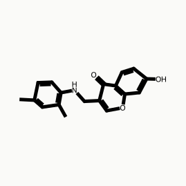 Cc1ccc(NCc2coc3cc(O)ccc3c2=O)c(C)c1